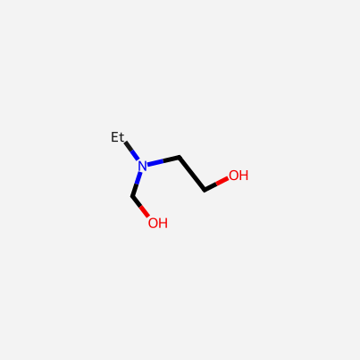 CCN(CO)CCO